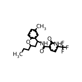 CCCC1CC(NC(=O)c2ccc(C(F)(F)F)[nH]c2=O)c2cc(C)ccc2O1